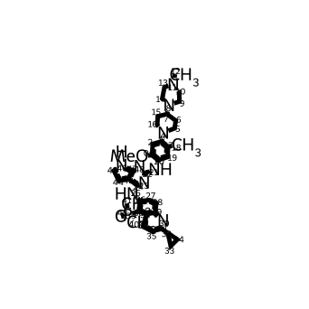 COc1cc(N2CCC(N3CCN(C)CC3)CC2)c(C)cc1Nc1nc(Nc2ccc3nc(C4CC4)ccc3c2P(C)(C)=O)c2cc[nH]c2n1